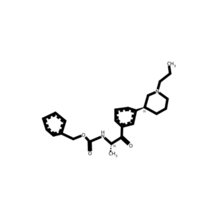 CCCN1CCC[C@@H](c2cccc(C(=O)[C@H](C)NC(=O)OCc3ccccc3)c2)C1